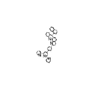 c1ccc(-c2cc(-c3ccc(-c4ccc5ccc6c(-c7cccc8ccccc78)c7ccccc7nc6c5n4)cc3)cc(-c3ccccn3)n2)nc1